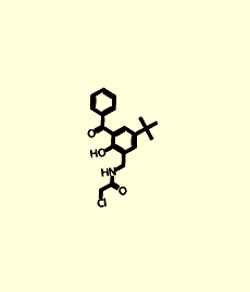 CC(C)(C)c1cc(CNC(=O)CCl)c(O)c(C(=O)c2ccccc2)c1